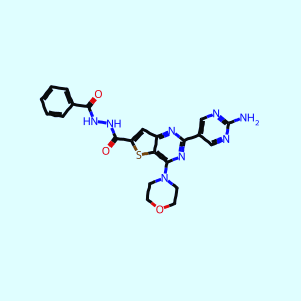 Nc1ncc(-c2nc(N3CCOCC3)c3sc(C(=O)NNC(=O)c4ccccc4)cc3n2)cn1